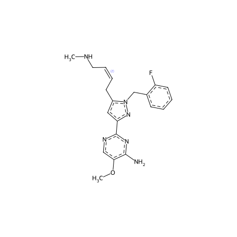 CNC/C=C\Cc1cc(-c2ncc(OC)c(N)n2)nn1Cc1ccccc1F